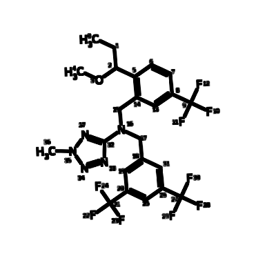 CCC(OC)c1ccc(C(F)(F)F)cc1CN(Cc1cc(C(F)(F)F)cc(C(F)(F)F)c1)c1nnn(C)n1